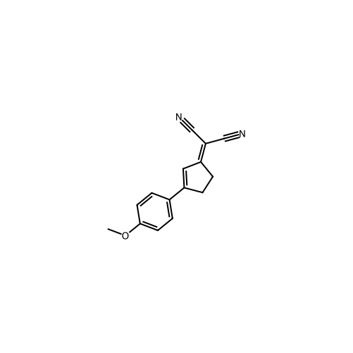 COc1ccc(C2=CC(=C(C#N)C#N)CC2)cc1